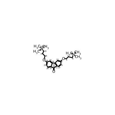 C[N+](C)(C)CCCOc1ccc2c(c1)-c1cc(OCCC[N+](C)(C)C)ccc1C2=O